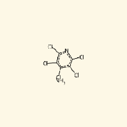 Clc1nc(Cl)c(Cl)c(Cl)c1Cl.N